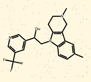 Cc1ccc2c(c1)c1c(n2CC(O)c2cncc(C(F)(F)F)c2)CCN(C)C1